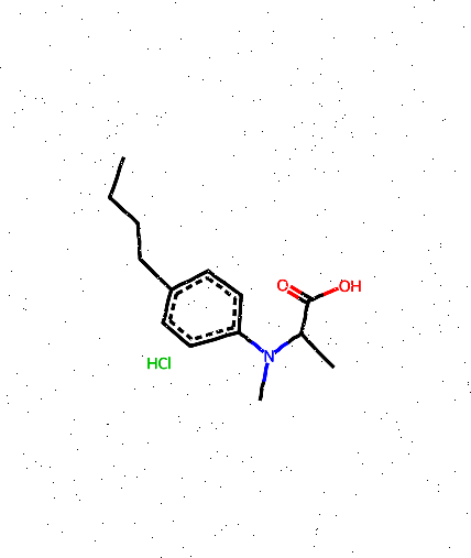 CCCCc1ccc(N(C)C(C)C(=O)O)cc1.Cl